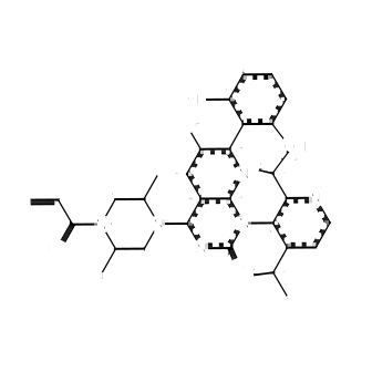 C=CC(=O)N1CC(C)N(c2nc(=O)n(-c3c(C(C)C)ccnc3C(C)C)c3nc(-c4c(O)cccc4F)c(F)cc23)CC1C